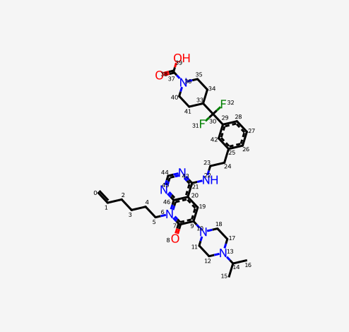 C=CCCCCn1c(=O)c(N2CCN(C(C)C)CC2)cc2c(NCCc3cccc(C(F)(F)C4CCN(C(=O)O)CC4)c3)ncnc21